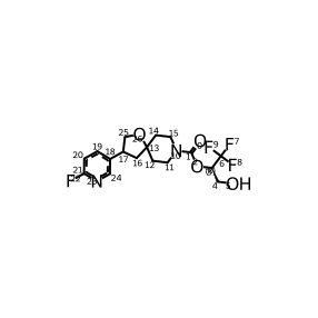 O=C(O[C@H](CO)C(F)(F)F)N1CCC2(CC1)CC(c1ccc(F)nc1)CO2